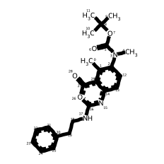 Cc1c(N(C)C(=O)OC(C)(C)C)ccc2nc(NCCc3ccccc3)oc(=O)c12